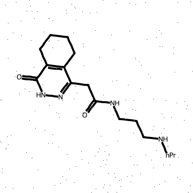 CCCNCCCNC(=O)Cc1n[nH]c(=O)c2c1CCCC2